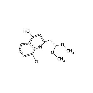 COC(Cc1cc(O)c2cccc(Cl)c2n1)OC